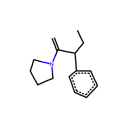 C=C(C(CC)c1ccccc1)N1CCCC1